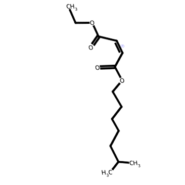 CCOC(=O)/C=C\C(=O)OCCCCCC(C)C